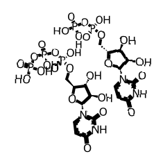 O=c1ccn([C@@H]2O[C@@H](CO[P@@](=O)(O)O[P@](=O)(O)OP(=O)(O)O)[C@H](O)[C@H]2O)c(=O)[nH]1.O=c1ccn([C@@H]2O[C@H](COP(=O)(O)OP(=O)(O)O)[C@@H](O)[C@H]2O)c(=O)[nH]1